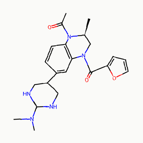 CC(=O)N1c2ccc(C3CNC(N(C)C)NC3)cc2N(C(=O)c2ccco2)C[C@@H]1C